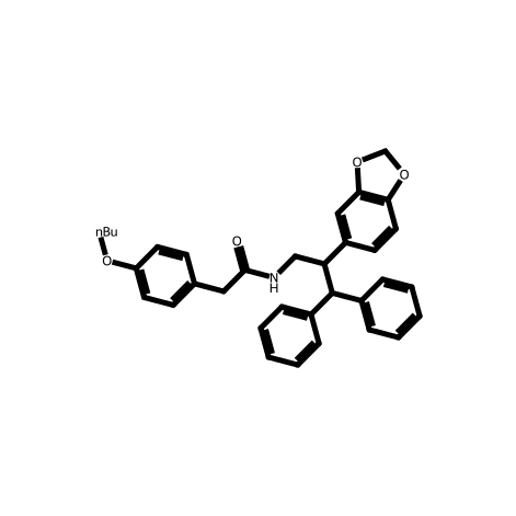 CCCCOc1ccc(CC(=O)NCC(c2ccc3c(c2)OCO3)C(c2ccccc2)c2ccccc2)cc1